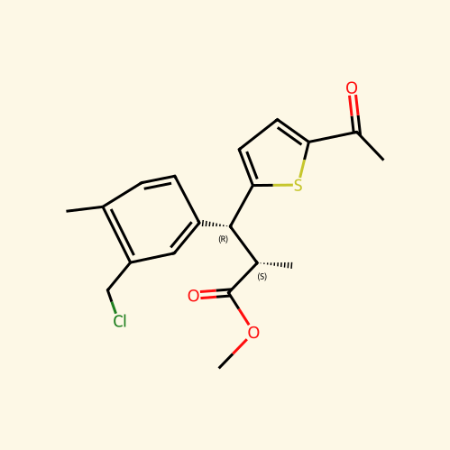 COC(=O)[C@@H](C)[C@H](c1ccc(C)c(CCl)c1)c1ccc(C(C)=O)s1